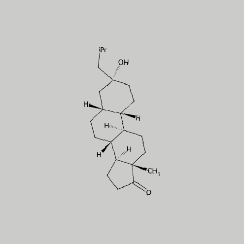 CC(C)C[C@@]1(O)CC[C@H]2[C@H](CC[C@@H]3[C@@H]2CC[C@]2(C)C(=O)CC[C@@H]32)C1